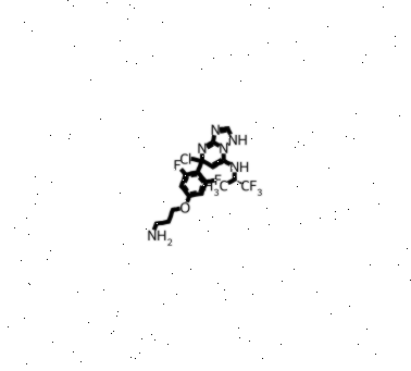 C[C@H](NC1=CC(Cl)(c2c(F)cc(OCCCN)cc2F)N=C2N=CNN12)C(F)(F)F